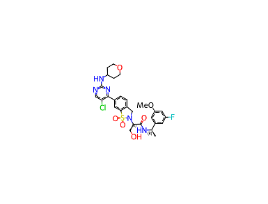 COc1cc(F)cc([C@@H](C)NC(=O)[C@@H](CO)N2Cc3ccc(-c4nc(NC5CCOCC5)ncc4Cl)cc3S2(=O)=O)c1